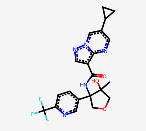 CC1(O)COCC1(NC(=O)c1cnn2cc(C3CC3)cnc12)c1ccc(C(F)(F)F)nc1